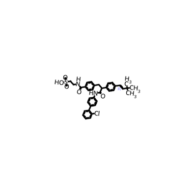 CC(C)(C)/C=C/c1ccc(C(Cc2ccc(C(=O)NCCS(=O)(=O)O)cc2)C(=O)Nc2ccc(-c3ccccc3Cl)cc2)cc1